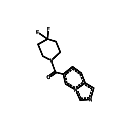 O=C(c1ccc2cncn2c1)N1CCC(F)(F)CC1